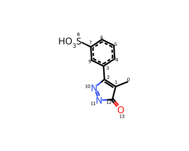 CC1=C(c2cccc(S(=O)(=O)O)c2)N=NC1=O